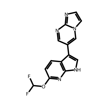 FC(F)Oc1ccc2c(-c3cnc4nccn4c3)c[nH]c2n1